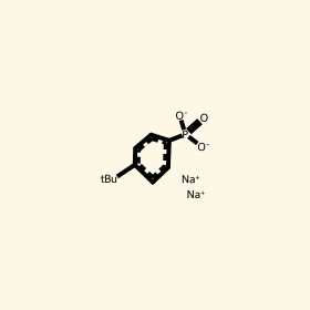 CC(C)(C)c1ccc(P(=O)([O-])[O-])cc1.[Na+].[Na+]